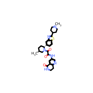 C[C@H]1CC[C@H](c2ccc3sc(C4CCN(C)CC4)nc3c2)N(C(=O)C(=O)Nc2cnc3c(c2)C(=O)NCC3)C1